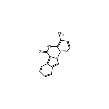 Cc1cccc2c1[nH]c(=O)c1c3ccccc3cn21